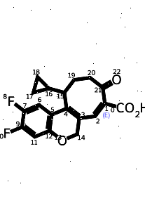 O=C(O)/C1=C/C2=C(c3cc(F)c(F)cc3OC2)C(C2CC2)CCC1=O